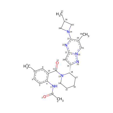 CC(=O)Nc1ccc(C)cc1C(=O)N1CCCC[C@H]1c1cc2nc(N3CC(C)C3)c(C)cn2n1